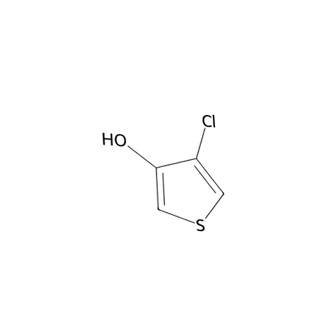 Oc1cscc1Cl